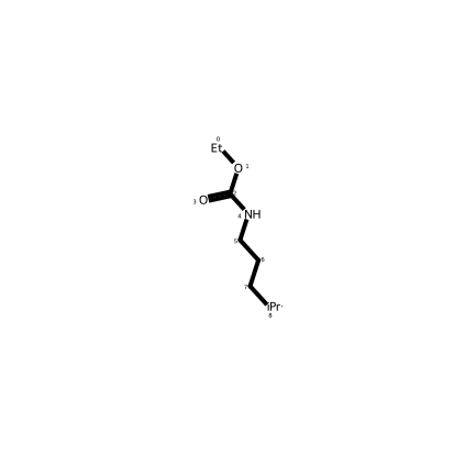 CCOC(=O)NCCC[C](C)C